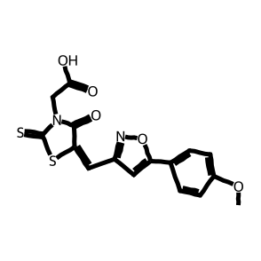 COc1ccc(-c2cc(C=C3SC(=S)N(CC(=O)O)C3=O)no2)cc1